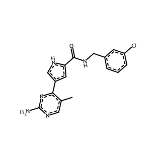 Cc1cnc(N)nc1-c1c[nH]c(C(=O)NCc2cccc(Cl)c2)c1